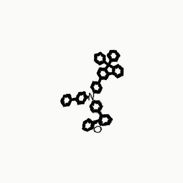 c1ccc(-c2ccc(N(c3ccc(-c4ccc5c(c4)-c4ccccc4C5(c4ccccc4)c4ccccc4)cc3)c3ccc(-c4cccc5oc6ccccc6c45)cc3)cc2)cc1